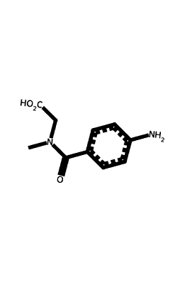 CN(CC(=O)O)C(=O)c1ccc(N)cc1